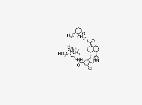 Cc1cccc(OCCCC(=O)N2CCCc3c(-c4cnn(Cc5c(F)cc(C(=O)NCCC[C@@H](C(=O)O)[N+](C)(C)C)cc5Cl)c4)cccc32)c1C